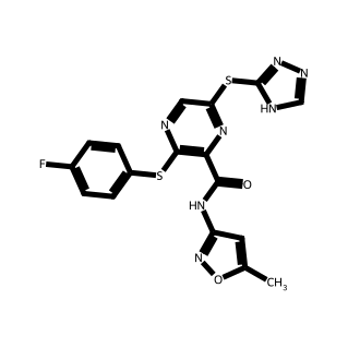 Cc1cc(NC(=O)c2nc(Sc3nnc[nH]3)cnc2Sc2ccc(F)cc2)no1